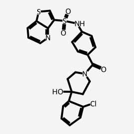 O=C(c1ccc(NS(=O)(=O)c2csc3cccnc23)cc1)N1CCC(O)(c2ccccc2Cl)CC1